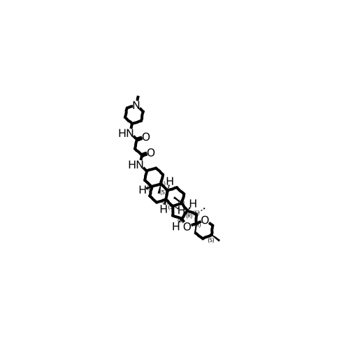 C[C@H]1CC[C@@]2(OC1)O[C@H]1C[C@H]3[C@@H]4CC[C@@H]5CC(NC(=O)CC(=O)NC6CCN(C)CC6)CC[C@]5(C)[C@H]4CC[C@]3(C)[C@H]1[C@@H]2C